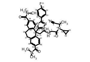 CC(C#N)N(C(=O)CN[C@H](C)CC1(c2nnc(-c3ccc(F)cc3)o2)c2ccc(C(=O)N(C)C)cc2CCc2cc(C(=O)N(C)C)ccc21)C1CC1